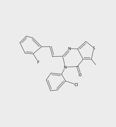 Cc1scc2nc(C=Cc3ccccc3F)n(-c3ccccc3Cl)c(=O)c12